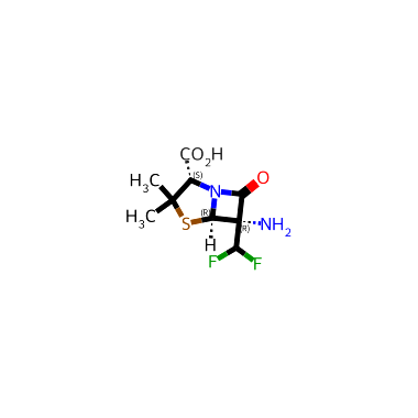 CC1(C)S[C@H]2N(C(=O)[C@@]2(N)C(F)F)[C@H]1C(=O)O